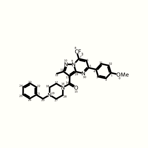 COc1ccc(-c2cc(C(F)(F)F)n3nc(C)c(C(=O)N4CCN(Cc5ccccc5)CC4)c3n2)cc1